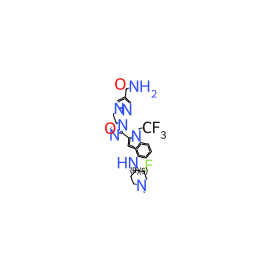 CN1CC[C@@H](Nc2cccc3c2cc(-c2noc(Cn4cc(C(N)=O)cn4)n2)n3CC(F)(F)F)[C@@H](F)C1